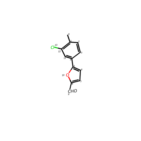 Cc1ccc(-c2ccc(C=O)o2)cc1Cl